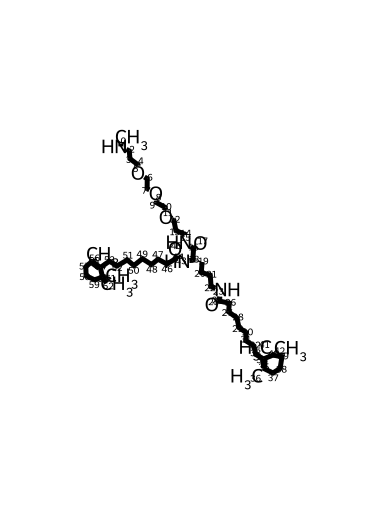 CNCCCOCCOCCOCCCNC(=O)[C@H](CCCCNC(=O)CCCCCCCCC1=C(C)CCCC1(C)C)NC(=O)CCCCCCCCC1=C(C)CCCC1(C)C